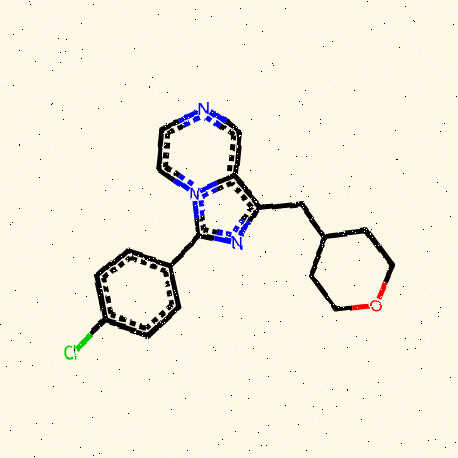 Clc1ccc(-c2nc(CC3CCOCC3)c3cnccn23)cc1